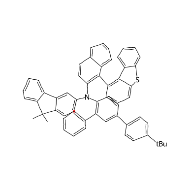 CC(C)(C)c1ccc(-c2ccc(N(c3ccc4c(c3)-c3ccccc3C4(C)C)c3ccc4ccccc4c3-c3cccc4sc5ccccc5c34)c(-c3ccccc3)c2)cc1